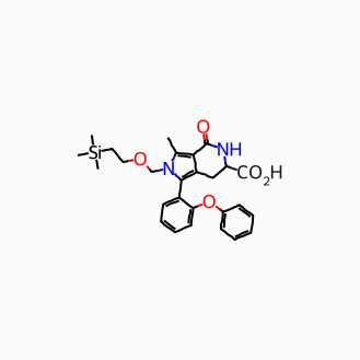 Cc1c2c(c(-c3ccccc3Oc3ccccc3)n1COCC[Si](C)(C)C)CC(C(=O)O)NC2=O